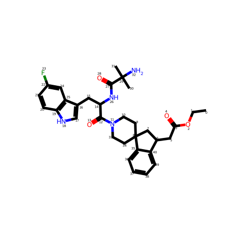 CCOC(=O)CC1CC2(CCN(C(=O)C(Cc3c[nH]c4ccc(F)cc34)NC(=O)C(C)(C)N)CC2)c2ccccc21